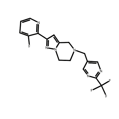 Fc1cccnc1-c1cc2n(n1)CCN(Cc1cnc(C(F)(F)F)nc1)C2